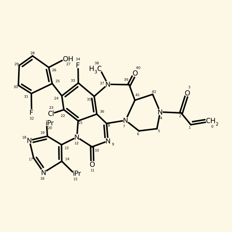 C=CC(=O)N1CCN2c3nc(=O)n(-c4c(C(C)C)ncnc4C(C)C)c4c(Cl)c(-c5c(O)cccc5F)c(F)c(c34)N(C)C(=O)C2C1